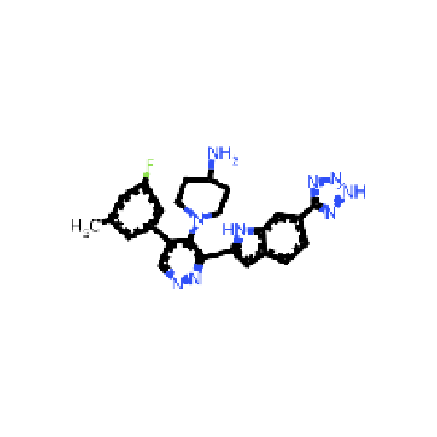 Cc1cc(F)cc(-c2cnnc(-c3cc4ccc(-c5nn[nH]n5)cc4[nH]3)c2N2CCC(N)CC2)c1